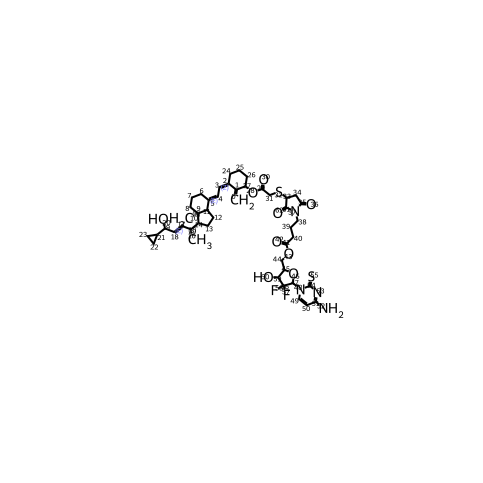 C=C1/C(=C\C=C2/CCC[C@@]3(C)C2CCC3[C@@H](C)/C=C/C(O)C2CC2)CCCC1OC(=O)CSC1CC(=O)N(CCCC(=O)OCC2OC(n3ccc(N)nc3=S)C(F)(F)C2O)C1=O